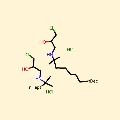 CCCCCCCC(C)(C)NCC(O)CCl.CCCCCCCCCCCCCCCC(C)(C)NCC(O)CCl.Cl.Cl